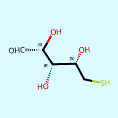 O=C[C@H](O)[C@@H](O)[C@H](O)CS